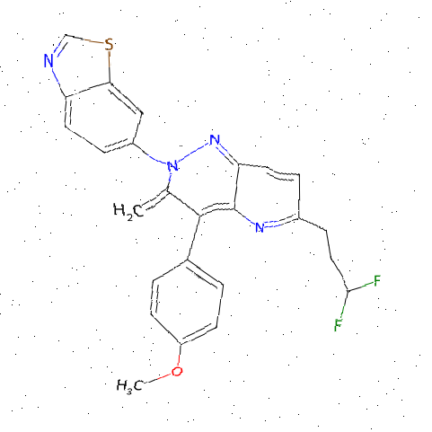 C=C1C(c2ccc(OC)cc2)=c2nc(CCC(F)F)ccc2=NN1c1ccc2ncsc2c1